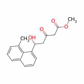 COC(=O)CC(=O)CC(O)c1cccc2cccc(C)c12